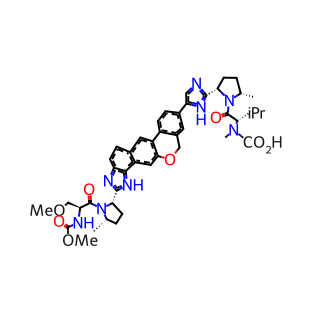 COC[C@H](NC(=O)OC)C(=O)N1[C@@H](C)CC[C@H]1c1nc2ccc3cc4c(cc3c2[nH]1)OCc1cc(-c2cnc([C@@H]3CC[C@H](C)N3C(=O)[C@H](C(C)C)N(C)C(=O)O)[nH]2)ccc1-4